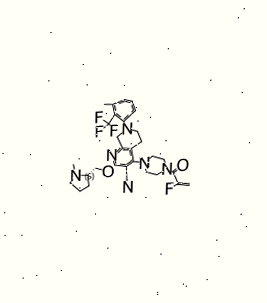 C=C(F)C(=O)N1CCN(c2c(C#N)c(OC[C@@H]3CCCN3C)nc3c2CCN(c2cccc(C)c2C(F)(F)F)C3)CC1